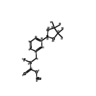 CC(C)(C)OC(=O)N(F)Cc1cccc(B2OC(C)(C)C(C)(C)O2)c1